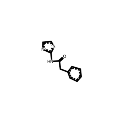 O=C([CH]c1ccccc1)Nc1nccs1